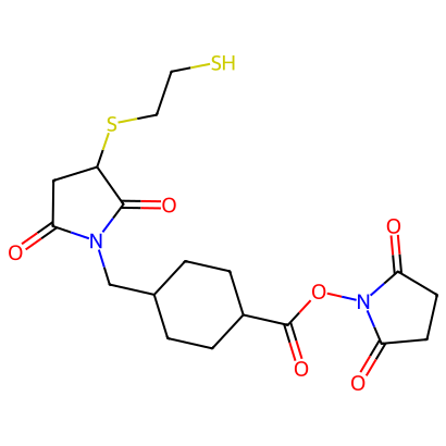 O=C(ON1C(=O)CCC1=O)C1CCC(CN2C(=O)CC(SCCS)C2=O)CC1